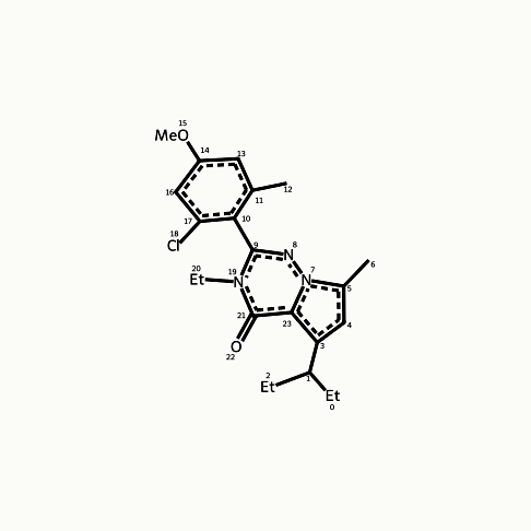 CCC(CC)c1cc(C)n2nc(-c3c(C)cc(OC)cc3Cl)n(CC)c(=O)c12